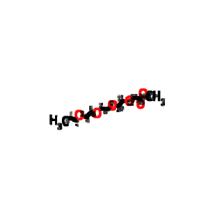 CCCOCCOCCOCCOCC(=O)OC